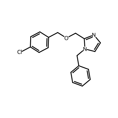 Clc1ccc(COCc2nccn2Cc2ccccc2)cc1